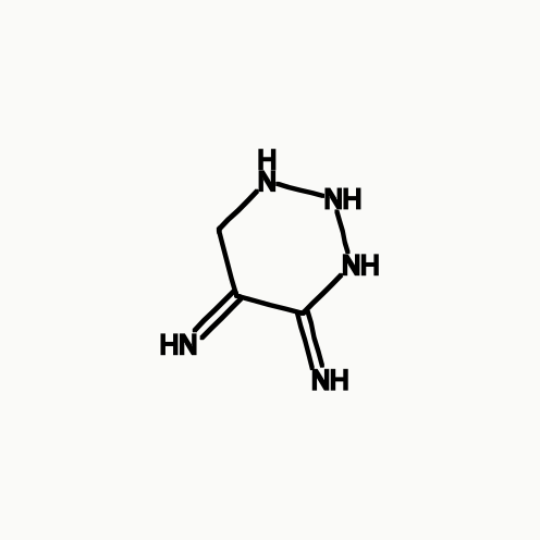 N=C1CNNNC1=N